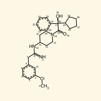 COc1cccc(CC(=N)NC2CCN(C(=O)[C@](O)(c3ccccc3)C3CCCC3)CC2)c1